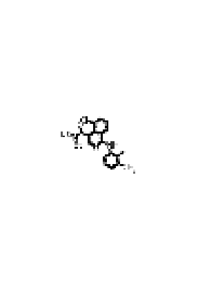 CCN(CC)C(=O)c1cnc(Nc2cccc(C(F)(F)F)c2C)c2cccc(Cl)c12